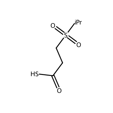 CC(C)S(=O)(=O)CCC(=O)S